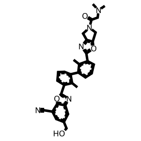 Cc1c(-c2nc3c(o2)CN(C(=O)CN(C)C)C3)cccc1-c1cccc(-c2nc3cc(CO)cc(C#N)c3o2)c1C